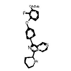 COc1cccc(Oc2ccc(-c3nc(C4CCCCN4)n4ccncc34)cc2)c1F